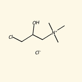 C[N+](C)(C)CC(O)CCl.[Cl-]